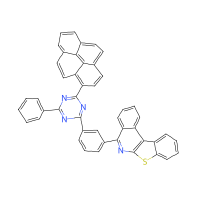 c1ccc(-c2nc(-c3cccc(-c4nc5sc6ccccc6c5c5ccccc45)c3)nc(-c3ccc4ccc5cccc6ccc3c4c56)n2)cc1